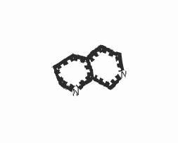 [c]1[c]c2ccncc2nc1